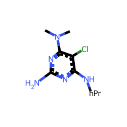 CCCNc1nc(N)nc(N(C)C)c1Cl